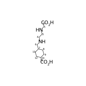 O=C(O)CNCCNCC1CCC(C(=O)O)CC1